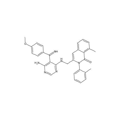 COc1ccc(C(=N)c2c(N)ncnc2NCc2cc3cccc(C)c3c(=O)n2-c2ccccc2C)cc1